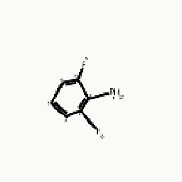 Fc1cccc(F)c1P